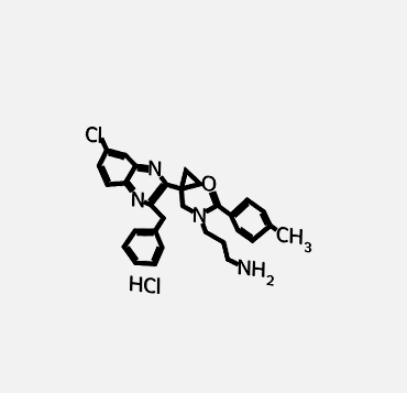 Cc1ccc(C(=O)N(CCCN)CC2(c3nc4cc(Cl)ccc4nc3Cc3ccccc3)CC2)cc1.Cl